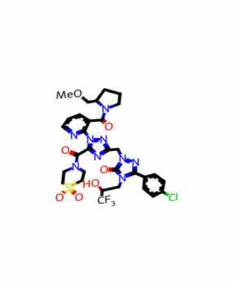 COCC1CCCN1C(=O)c1cccnc1-n1nc(Cn2nc(-c3ccc(Cl)cc3)n(CC(O)C(F)(F)F)c2=O)nc1C(=O)N1CCS(=O)(=O)CC1